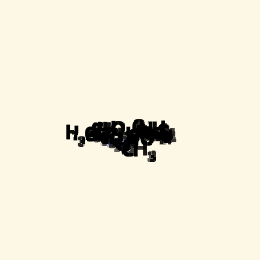 CC(C)=CCC/C(C)=C/CC/C(C)=C/CSC[C@H](NC(=O)CCc1cccs1)C(=O)O